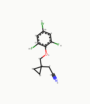 N#CCC1(COc2c(F)cc(Br)cc2F)CC1